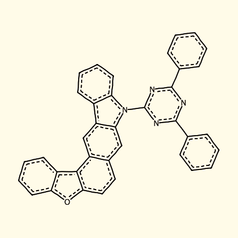 c1ccc(-c2nc(-c3ccccc3)nc(-n3c4ccccc4c4cc5c(ccc6oc7ccccc7c65)cc43)n2)cc1